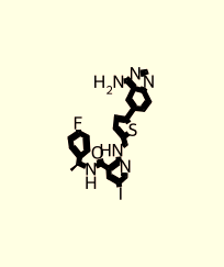 C[C@H](NC(=O)c1cc(I)cnc1NCc1ccc(-c2ccc3ncnc(N)c3c2)s1)c1ccc(F)cc1